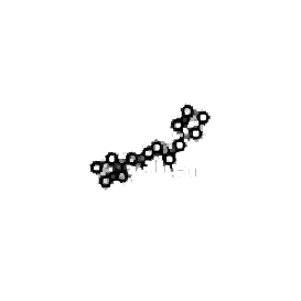 CC(C)(C)c1cc2c3ccc(N(c4cccc(-c5ccccc5)c4)c4cccc5c4oc4ccccc45)cc3n3c4ccc5cc6c(cc5c4c(c1)c23)C(C)(C)c1cc(N(c2cccc(-c3ccccc3)c2)c2cccc3c2oc2ccccc23)ccc1-6